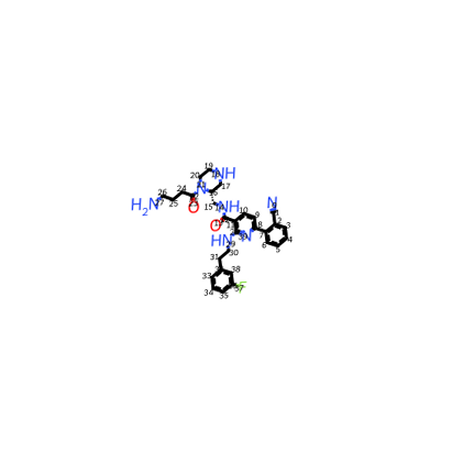 N#Cc1ccccc1-c1ccc(C(=O)NC[C@H]2CNCCN2C(=O)CCCN)c(NCCc2cccc(F)c2)n1